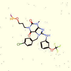 Cn1c(=O)n(CCCOPI)c(=O)c2c1nc(Nc1cccc(OC(F)(F)F)c1)n2Cc1ccc(Cl)cc1